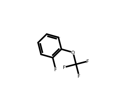 Fc1ccc[c]c1OC(F)(F)F